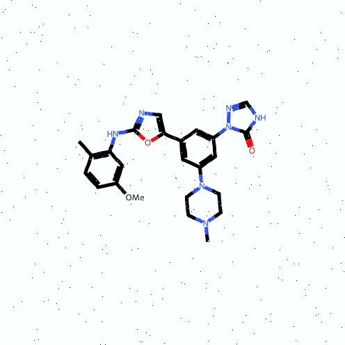 COc1ccc(C)c(Nc2ncc(-c3cc(N4CCN(C)CC4)cc(-n4nc[nH]c4=O)c3)o2)c1